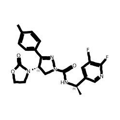 Cc1ccc(C2=NN(C(=O)N[C@H](C)c3cnc(F)c(F)c3)C[C@@H]2N2CCOC2=O)cc1